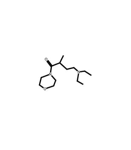 CCN(CC)CCC(C)C(=O)N1CCOCC1